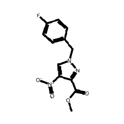 COC(=O)c1nn(Cc2ccc(F)cc2)cc1[N+](=O)[O-]